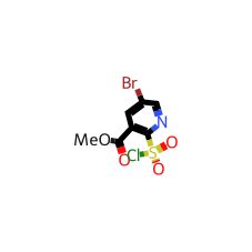 COC(=O)c1cc(Br)cnc1S(=O)(=O)Cl